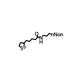 CCCCCCCCCCCCNC(=O)CCCCC1CCSS1